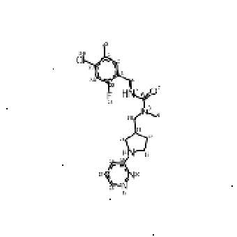 Cc1cc(CNC(=O)N(C)CC2CCN(c3cccnn3)C2)c(F)cc1Cl